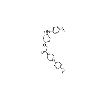 COc1ccc(N2CCN(C(=O)COC3CCC(Nc4ccc(SC)cc4)CC3)CC2)cc1